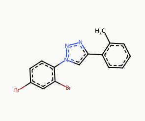 Cc1ccccc1-c1cn(-c2ccc(Br)cc2Br)nn1